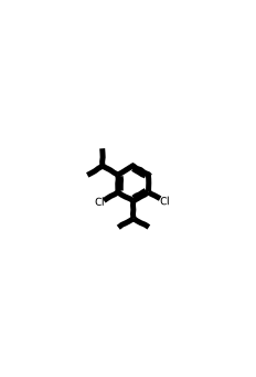 CC(C)c1c[c]c(Cl)c(C(C)C)c1Cl